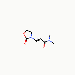 CN(C)C(=O)/C=C/N1CCOC1=O